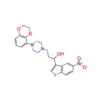 O=[N+]([O-])c1ccc2scc(C(O)CCN3CCN(c4cccc5c4OCCO5)CC3)c2c1